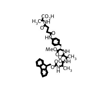 COC(=O)[C@H](Cc1ccc(NC(=O)CCC(=O)NC(C)C(=O)O)cc1)NC(=O)C(C)NC(=O)C(C)NC(=O)OCC1c2ccccc2-c2ccccc21